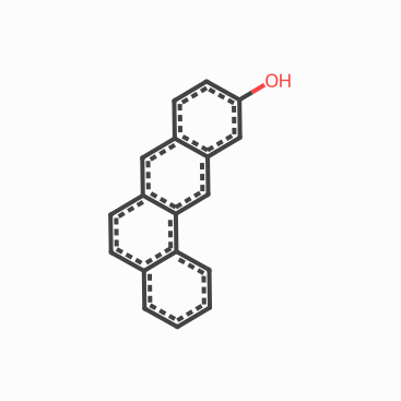 Oc1ccc2cc3ccc4ccccc4c3cc2c1